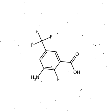 Nc1cc(C(F)(F)F)cc(C(=O)O)c1F